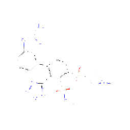 CN1CC(S(=O)(=O)c2ccc(-c3cccc4[nH]c(N)nc34)c(-c3nn[nH]n3)c2S(N)(=O)=O)C1